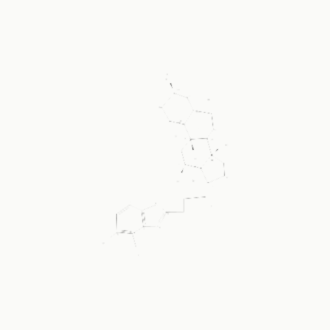 CC(CCc1nc2c(F)c(F)ccc2[nH]1)[C@H]1CC[C@H]2[C@@H]3CC[C@@H]4C[C@H](O)CC[C@]4(C)[C@H]3C[C@H](O)[C@]12C